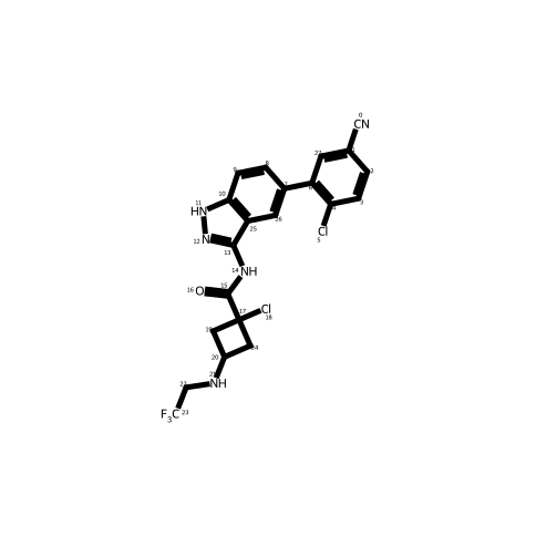 N#Cc1ccc(Cl)c(-c2ccc3[nH]nc(NC(=O)C4(Cl)CC(NCC(F)(F)F)C4)c3c2)c1